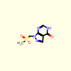 CS(=O)(=O)Cn1ncc2c(=O)[nH]cnc21